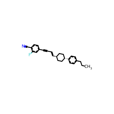 CCCc1ccc([C@H]2CC[C@H](/C=C/C#Cc3ccc(C#N)c(F)c3)CC2)cc1